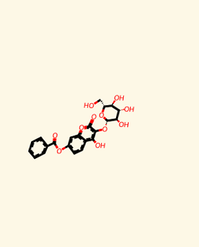 O=C(Oc1ccc2c(O)c(O[C@@H]3O[C@H](CO)[C@@H](O)[C@H](O)[C@H]3O)c(=O)oc2c1)c1ccccc1